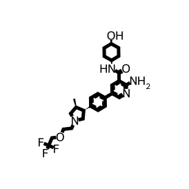 C[C@@H]1CN(CCOCC(F)(F)F)C[C@H]1c1ccc(-c2cnc(N)c(C(=O)N[C@H]3CC[C@H](O)CC3)c2)cc1